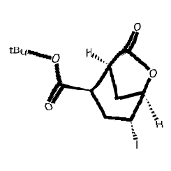 CC(C)(C)OC(=O)[C@@H]1C[C@@H](I)[C@H]2C[C@@H]1C(=O)O2